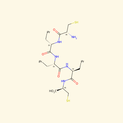 CC(C)C[C@H](NC(=O)[C@H](CC(C)C)NC(=O)[C@H](CC(C)C)NC(=O)[C@@H](N)CS)C(=O)N[C@@H](CS)C(=O)O